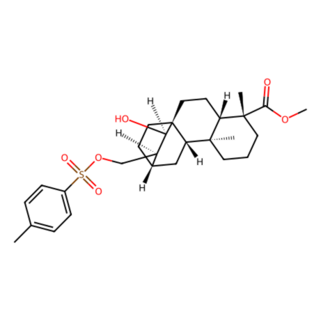 COC(=O)[C@]1(C)CCC[C@@]2(C)[C@@H]3C[C@@H]4CC[C@@]3(CC[C@@H]21)[C@H](O)[C@@H]4COS(=O)(=O)c1ccc(C)cc1